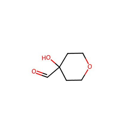 O=CC1(O)CCOCC1